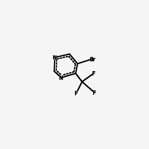 FC(F)(F)c1ncncc1Br